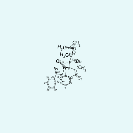 C[C@H](C(=S)c1ccccc1)[C@@H]1[C@@H]([C@@](C)(O[SiH](C)C)C(C)(C)C)C(=O)N1CC(=S)c1ccccc1